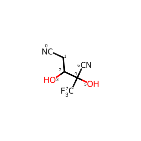 N#CCC(O)C(O)(C#N)C(F)(F)F